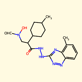 Cc1cccc2nnc(NNC(=O)C(CN(O)C=O)C3CCC(C)CC3)nc12